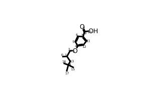 CC(COc1ccc(C(=O)O)cc1)CC(C)(C)C